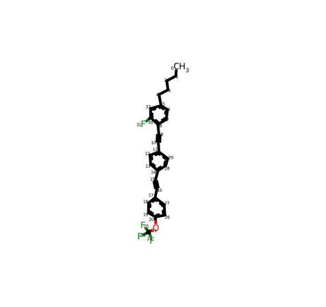 CCCCCc1ccc(C#Cc2ccc(C#Cc3ccc(OC(F)(F)F)cc3)cc2)c(F)c1